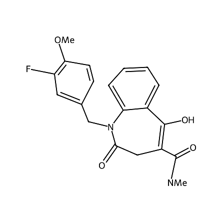 CNC(=O)C1=C(O)c2ccccc2N(Cc2ccc(OC)c(F)c2)C(=O)C1